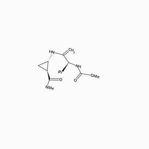 C=C(N[C@H]1C[C@@H]1C(=O)NC)[C@@H](NC(=O)OC)C(C)C